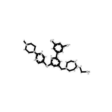 CN1CCN(c2ncc(Oc3cc(CN4CCO[C@H](CCO)CC4)cc(-c4cc(Cl)cc(Cl)c4)n3)cn2)CC1